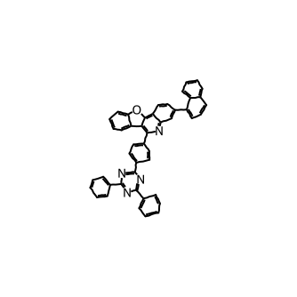 c1ccc(-c2nc(-c3ccccc3)nc(-c3ccc(-c4nc5cc(-c6cccc7ccccc67)ccc5c5oc6ccccc6c45)cc3)n2)cc1